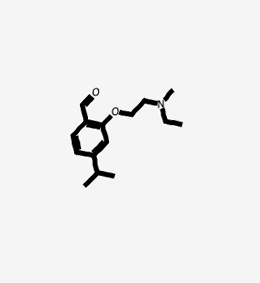 CCN(C)CCOc1cc(C(C)C)ccc1C=O